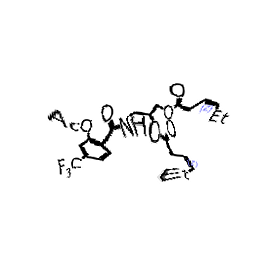 CC/C=C\CC(=O)OCC(CNC(=O)c1ccc(C(F)(F)F)cc1OC(C)=O)OC(=O)C/C=C\CC